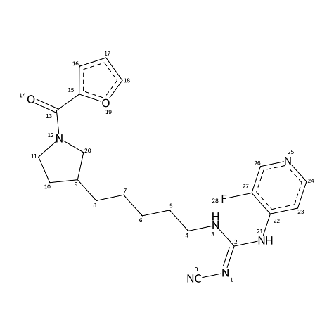 N#CN=C(NCCCCCC1CCN(C(=O)c2ccco2)C1)Nc1ccncc1F